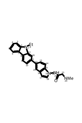 CCn1c2ccccc2c2ccc(-c3ccc4c(ccn4NC(=O)CNC)c3)cc21